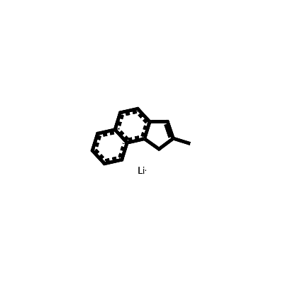 CC1=Cc2ccc3ccccc3c2C1.[Li]